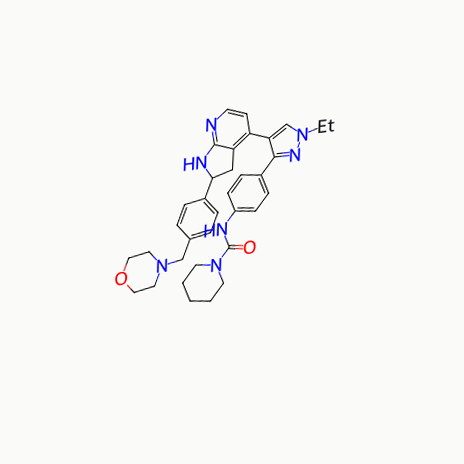 CCn1cc(-c2ccnc3c2CC(c2ccc(CN4CCOCC4)cc2)N3)c(-c2ccc(NC(=O)N3CCCCC3)cc2)n1